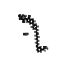 C[C@@H](N)c1cccc(OCCCCCCOCCN2CCN(c3ccc4c(c3)CN(C3CCC(=O)NC3=O)C4=O)CC2)c1.Cl